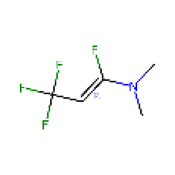 CN(C)/C(F)=C/C(F)(F)F